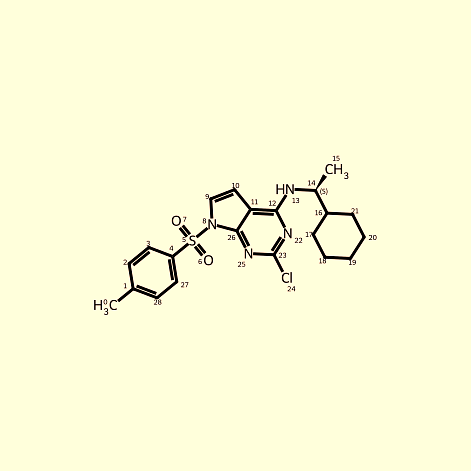 Cc1ccc(S(=O)(=O)n2ccc3c(N[C@@H](C)C4CCCCC4)nc(Cl)nc32)cc1